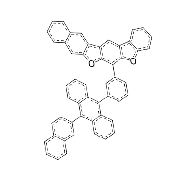 c1cc(-c2c3ccccc3c(-c3ccc4ccccc4c3)c3ccccc23)cc(-c2c3oc4ccccc4c3cc3c2oc2cc4ccccc4cc23)c1